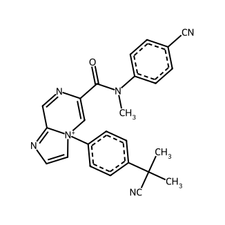 CN(C(=O)C1=C[N+]2(c3ccc(C(C)(C)C#N)cc3)C=CN=C2C=N1)c1ccc(C#N)cc1